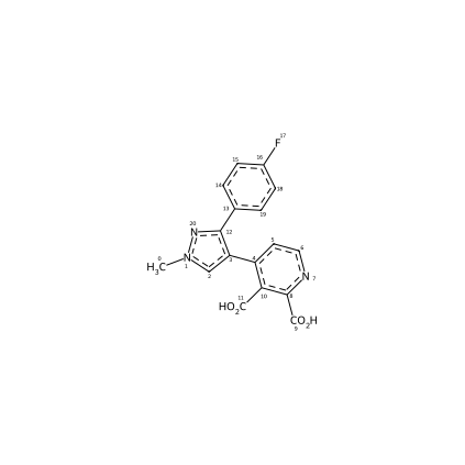 Cn1cc(-c2ccnc(C(=O)O)c2C(=O)O)c(-c2ccc(F)cc2)n1